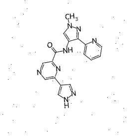 Cn1cc(NC(=O)c2cncc(-c3cn[nH]c3)n2)c(-c2ccccn2)n1